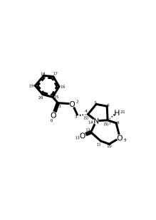 O=C(OC[C@@H]1CC[C@H]2COCCC(=O)N21)c1ccccc1